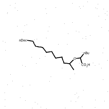 CCCCCCCCCCCCCCCCCCC(C)OC(CCCC)C(=O)O